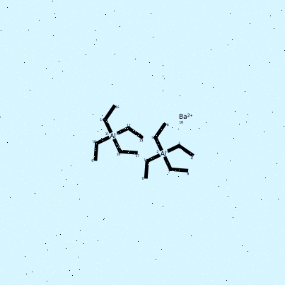 C[CH2][Al-]([CH2]C)([CH2]C)[CH2]C.C[CH2][Al-]([CH2]C)([CH2]C)[CH2]C.[Ba+2]